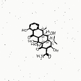 C[C@@H]1c2cccc(O)c2C(=O)C2[C@@H]1[C@H](O)[C@H]1[C@H](N(C)C)C(O)=C(C(N)=O)C(=O)[C@@H]1C2(O)O